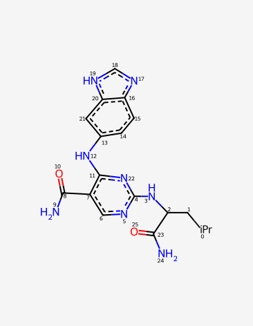 CC(C)CC(Nc1ncc(C(N)=O)c(Nc2ccc3nc[nH]c3c2)n1)C(N)=O